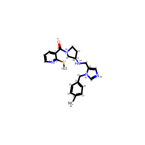 CCSc1ncccc1C(=O)N1CC[C@@H](NCc2cncn2Cc2ccc(C#N)cc2)C1